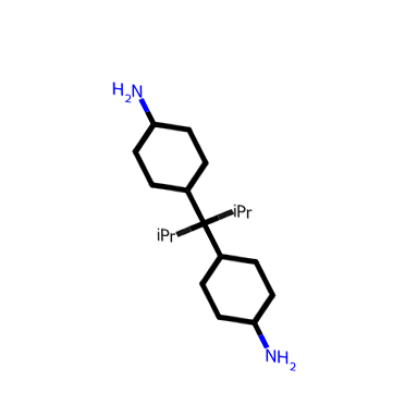 CC(C)C(C(C)C)(C1CCC(N)CC1)C1CCC(N)CC1